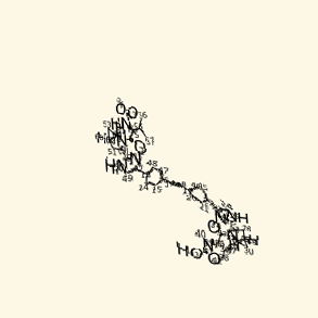 COC(=O)N[C@H](C(=O)N1[C@H](c2nc(-c3ccc(C#Cc4ccc(-c5c[nH]c([C@@H]6C[C@@H]7C[C@@H]7N6C(=O)[C@H](C(C)C)N(C)C(=O)O)n5)cc4)cc3)c[nH]2)C[C@H]2C[C@@H]21)C(C)C